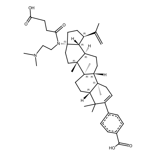 C=C(C)[C@@H]1CC[C@]2(N(CCN(C)C)C(=O)CCC(=O)O)CC[C@]3(C)[C@H](CC[C@@H]4[C@@]5(C)CC=C(c6ccc(C(=O)O)cc6)C(C)(C)[C@@H]5CC[C@]43C)[C@@H]12